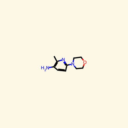 Cc1nc(N2CCOCC2)ccc1N